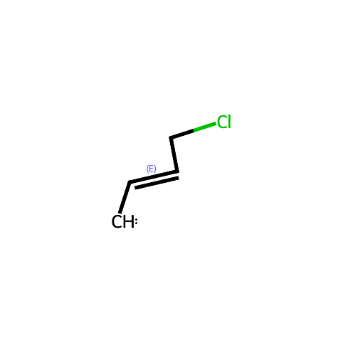 [CH]/C=C/CCl